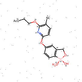 [C-]#[N+]c1ccc(Oc2ccc3c(c2)CO[B-]3(O)[OH2+])nc1OCCOC(C)=O